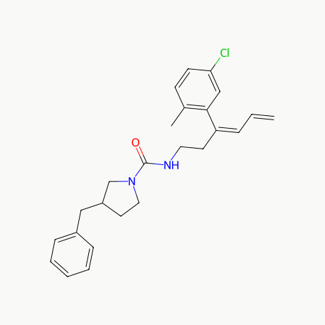 C=C/C=C(/CCNC(=O)N1CCC(Cc2ccccc2)C1)c1cc(Cl)ccc1C